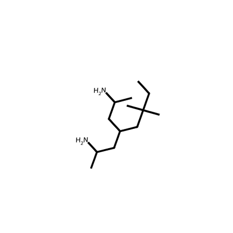 CCC(C)(C)CC(CC(C)N)CC(C)N